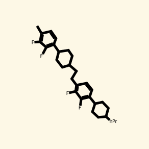 CCCC1CCC(c2ccc(CCC3CCC(c4ccc(C)c(F)c4F)CC3)c(F)c2F)CC1